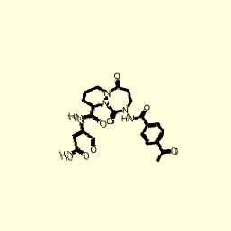 CC(=O)c1ccc(C(=O)NN2CCC(=O)N3CCCC(C(=O)NC(C=O)CC(=O)O)N3C2=O)cc1